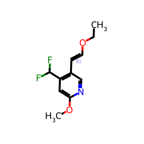 CCO/C=C/c1cnc(OC)cc1C(F)F